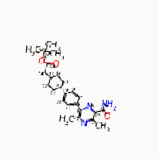 Cc1nc(C)c(-c2ccc([C@H]3CC[C@H](CC(=O)OC(C)(C)C)CC3)cc2)nc1C(N)=O